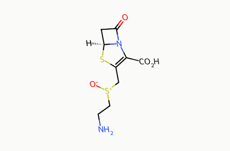 NCC[S+]([O-])CC1=C(C(=O)O)N2C(=O)C[C@@H]2S1